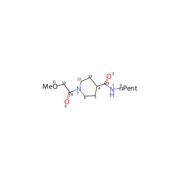 CCCCCNC(=O)C1CCN(C(=O)COC)CC1